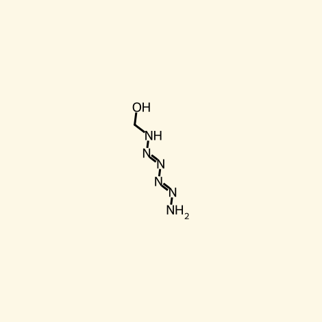 NN=NN=NNCO